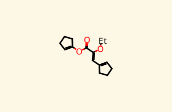 CCOC(=CC1=CCCC1)C(=O)OC1=CCCC1